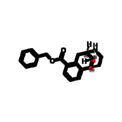 O=C(OCc1ccccc1)c1cccc2c1C[C@H]1NCC[C@@]23CCCC[C@@H]13